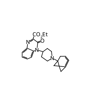 CCOC(=O)c1nc2ccccc2n(C2CCN(C34CC=C=C5CC53C4)CC2)c1=O